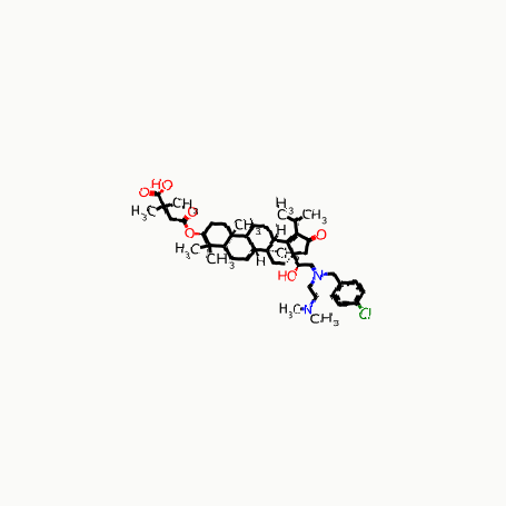 CC(C)C1=C2[C@H]3CCC4[C@@H](CCC5C(C)(C)[C@@H](OC(=O)CC(C)(C)C(=O)O)CC[C@]45C)[C@]3(C)CC[C@@]2([C@H](O)CN(CCN(C)C)Cc2ccc(Cl)cc2)CC1=O